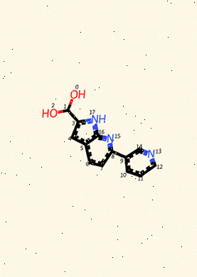 OC(O)c1cc2ccc(-c3cccnc3)nc2[nH]1